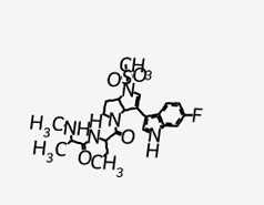 CCC(NC(=O)C(C)NC)C(=O)N1CCC2C1C(c1c[nH]c3cc(F)ccc13)=CN2S(C)(=O)=O